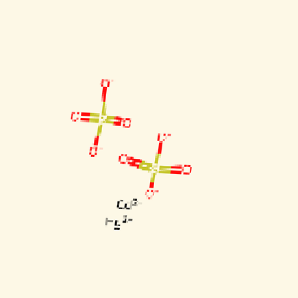 O=S(=O)([O-])[O-].O=S(=O)([O-])[O-].[Cd+2].[Hg+2]